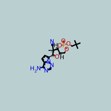 CC(C)(C)COP1(=O)OC[C@H]2O[C@@H](c3ccc4c(N)ncnn34)[C@](C)(C#N)[C@@H]2O1